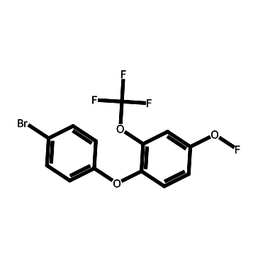 FOc1ccc(Oc2ccc(Br)cc2)c(OC(F)(F)F)c1